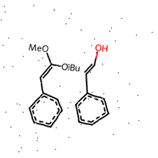 COC(=Cc1ccccc1)OCC(C)C.OC=Cc1ccccc1